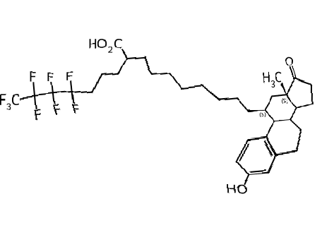 C[C@]12C[C@H](CCCCCCCCC(CCCC(F)(F)C(F)(F)C(F)(F)C(F)(F)F)C(=O)O)C3c4ccc(O)cc4CCC3C1CCC2=O